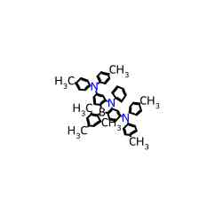 Cc1ccc(N(c2ccc(C)cc2)c2ccc3c(c2)N(c2ccccc2)c2cc(N(c4ccc(C)cc4)c4ccc(C)cc4)ccc2B3c2c(C)cc(C)cc2C)cc1